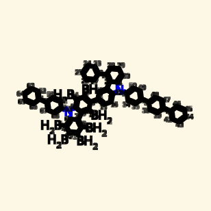 Bc1c(B)c(B)c2c(c1B)c1c(B)c(-c3ccc4c(c3)c3c(-c5ccccc5)cccc3n4-c3ccc(-c4ccc(-c5ccccc5)cc4)cc3)c(B)c(B)c1n2-c1ccc(-c2ccccc2)cc1